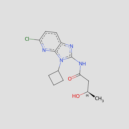 C[C@@H](O)CC(=O)Nc1nc2ccc(Cl)nc2n1C1CCC1